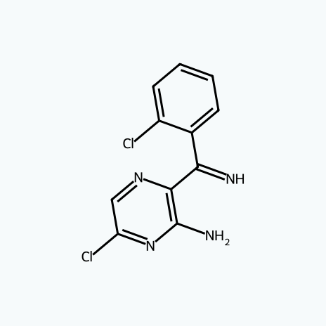 N=C(c1ccccc1Cl)c1ncc(Cl)nc1N